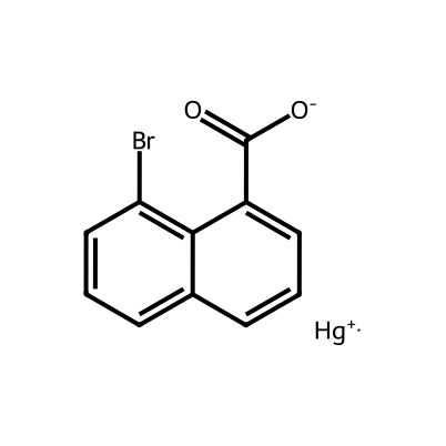 O=C([O-])c1cccc2cccc(Br)c12.[Hg+]